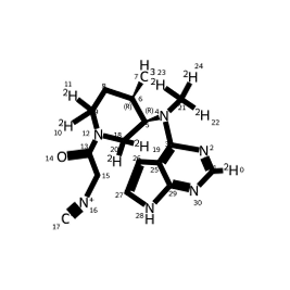 [2H]c1nc(N([C@@H]2[C@H](C)CC([2H])([2H])N(C(=O)C[N+]#[C-])C2([2H])[2H])C([2H])([2H])[2H])c2cc[nH]c2n1